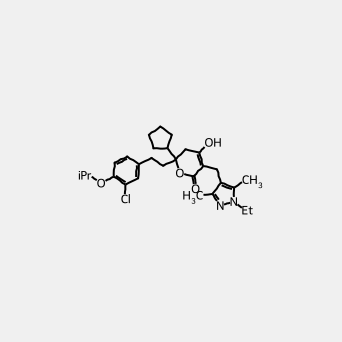 CCn1nc(C)c(CC2=C(O)CC(CCc3ccc(OC(C)C)c(Cl)c3)(C3CCCC3)OC2=O)c1C